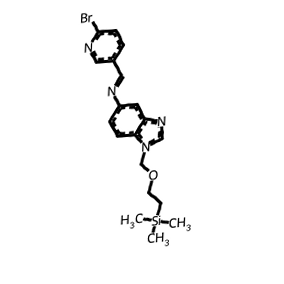 C[Si](C)(C)CCOCn1cnc2cc(N=Cc3ccc(Br)nc3)ccc21